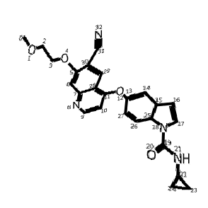 COCCOc1cc2nccc(OC3=CC4C=CN(C(=O)NC5CC5)C4C=C3)c2cc1C#N